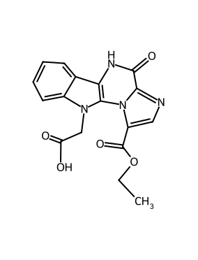 CCOC(=O)c1cnc2c(=O)[nH]c3c4ccccc4n(CC(=O)O)c3n12